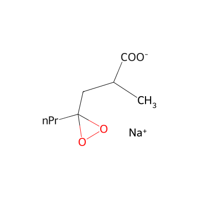 CCCC1(CC(C)C(=O)[O-])OO1.[Na+]